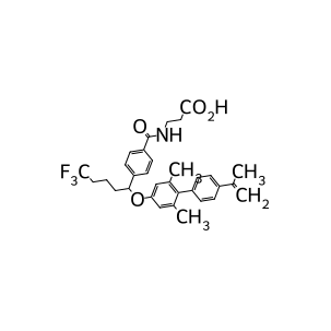 C=C(C)c1ccc(-c2c(C)cc(OC(CCCC(F)(F)F)c3ccc(C(=O)NCCC(=O)O)cc3)cc2C)cc1